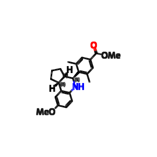 COC(=O)c1cc(C)c([C@H]2Nc3ccc(OC)cc3[C@@H]3CCC[C@H]23)c(C)c1